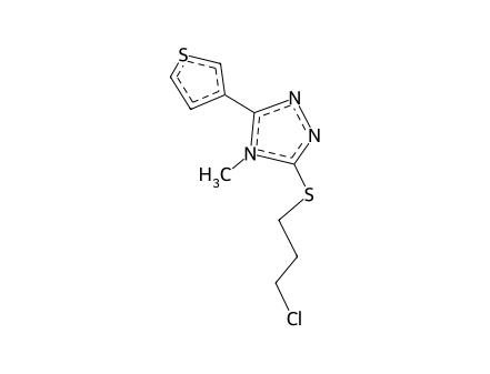 Cn1c(SCCCCl)nnc1-c1ccsc1